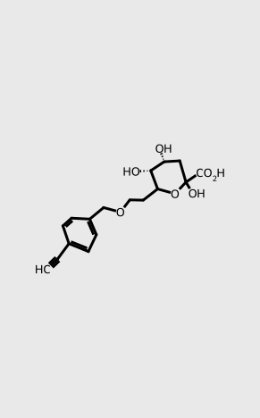 C#Cc1ccc(COCCC2OC(O)(C(=O)O)C[C@@H](O)[C@H]2O)cc1